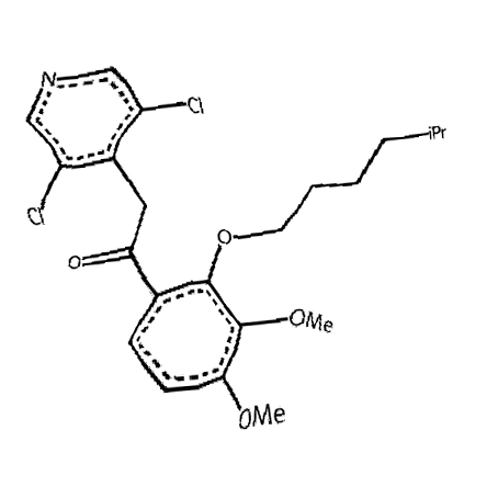 COc1ccc(C(=O)Cc2c(Cl)cncc2Cl)c(OCCCCC(C)C)c1OC